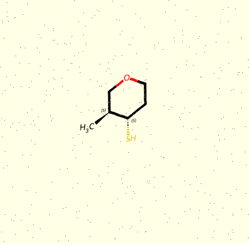 C[C@H]1COCC[C@@H]1S